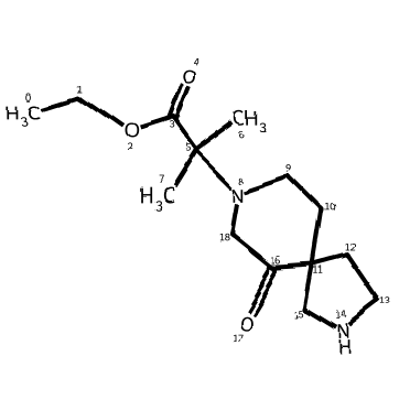 CCOC(=O)C(C)(C)N1CCC2(CCNC2)C(=O)C1